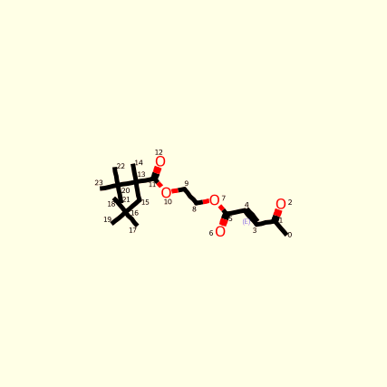 CC(=O)/C=C/C(=O)OCCOC(=O)C(C)(CC(C)(C)C)C(C)(C)C